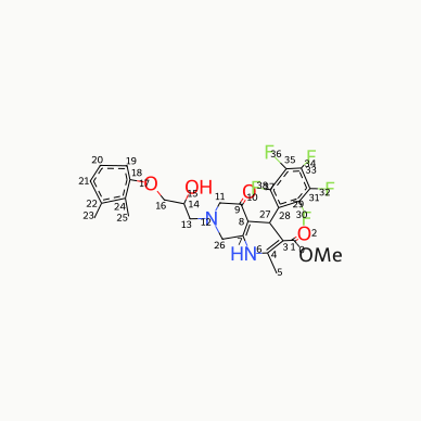 COC(=O)C1=C(C)NC2=C(C(=O)CN(CC(O)COc3cccc(C)c3C)C2)C1c1c(F)c(F)c(F)c(F)c1F